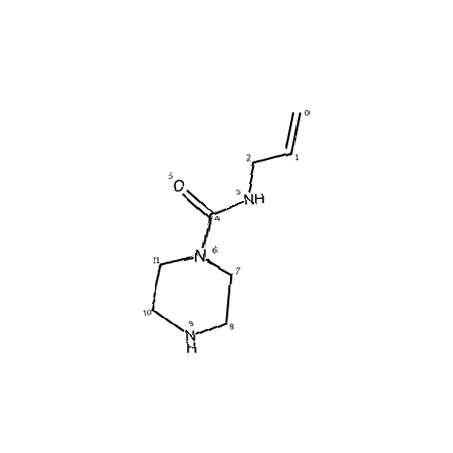 C=CCNC(=O)N1CCNCC1